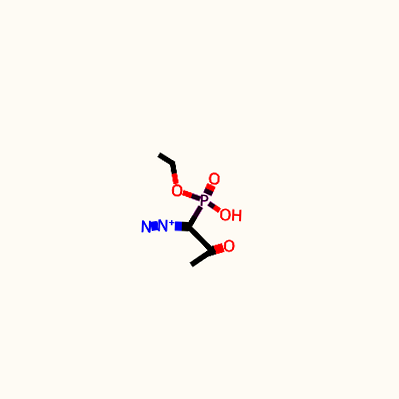 CCOP(=O)(O)C(=[N+]=[N-])C(C)=O